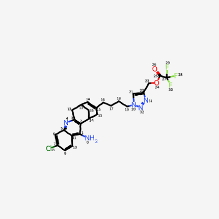 Nc1c2c(nc3cc(Cl)ccc13)CC1C=C(CCCCn3cc(COC(=O)C(F)(F)F)nn3)CC2C1